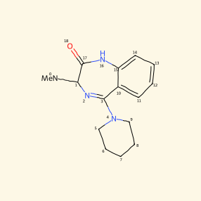 CNC1N=C(N2CCCCC2)c2ccccc2NC1=O